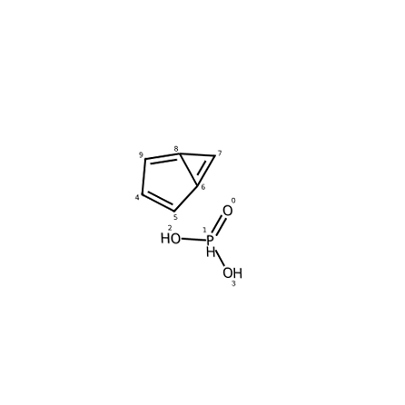 O=[PH](O)O.c1cc2cc-2c1